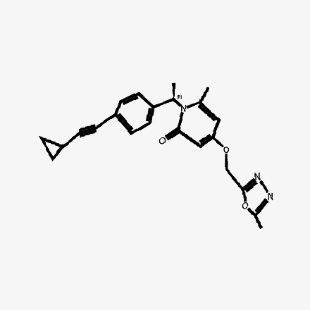 Cc1nnc(COc2cc(C)n([C@H](C)c3ccc(C#CC4CC4)cc3)c(=O)c2)o1